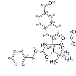 CC(C)OC(=O)[C@](CC(C)(C)C)(NC(=O)OCc1ccccc1)c1ccc2nc(C=O)ccc2c1